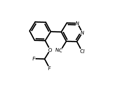 N#Cc1c(-c2ccccc2OC(F)F)cnnc1Cl